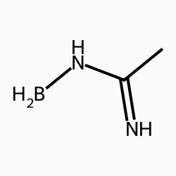 BNC(C)=N